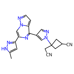 Cc1cc(-c2cn3nccc3c(-c3cnn(C4(CC#N)CC(C#N)C4)c3)n2)n[nH]1